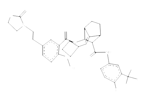 COc1ccc(CCN2CCOC2=O)cc1C(=O)NC1C2CCC(/C2=C/C2CCC2)C1C(=O)Nc1ccc(F)c(C(F)(F)F)c1